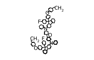 C=CC1=CCC(OC2=CC=C(C3(C4=CCC(F)C=C4)c4ccccc4C4C=CC(N(c5ccccc5)c5ccc6c(c5)OC5CC(N(C7=CCCC=C7)C7=CC8C(CC7)C7=C(CCCC7)C8(C7=CCC(OC8=CCC(C=C)C=C8)C=C7)C7=CC=C(F)CC7)C=CC65)=CC43)CC2)C=C1